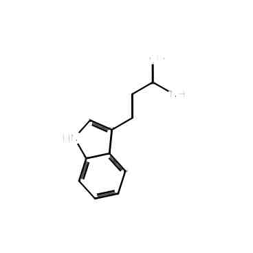 NC(CCc1c[nH]c2ccccc12)C(=O)O